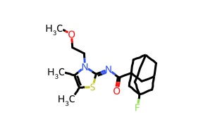 COCCn1c(C)c(C)sc1=NC(=O)C12CC3CC(CC(F)(C3)C1)C2